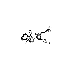 CC(C)CCn1nc(NC(=O)c2ccccc2O)cc1C(F)(F)F